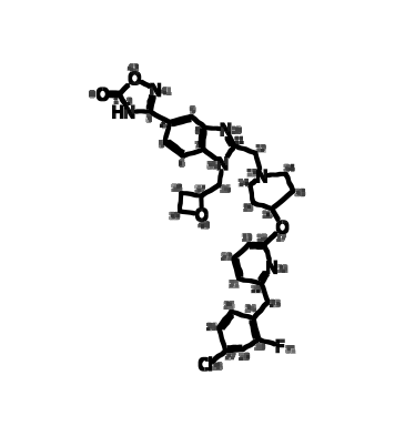 O=c1[nH]c(-c2ccc3c(c2)nc(CN2CCC(Oc4cccc(Cc5ccc(Cl)cc5F)n4)CC2)n3CC2CCO2)no1